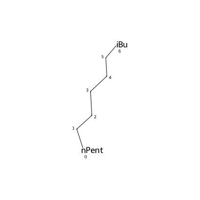 CCCCCCCCCCC(C)CC